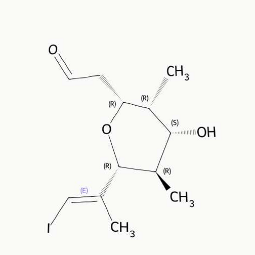 C/C(=C\I)[C@@H]1O[C@H](CC=O)[C@H](C)[C@H](O)[C@H]1C